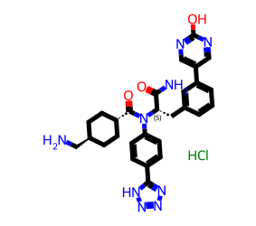 Cl.NC[C@H]1CC[C@H](C(=O)N(c2ccc(-c3nnn[nH]3)cc2)[C@@H](Cc2cccc(-c3cnc(O)nc3)c2)C(N)=O)CC1